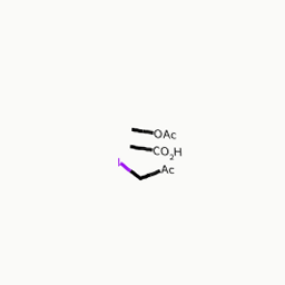 CC(=O)CI.CC(=O)O.COC(C)=O